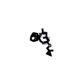 CC1=C/C(C)=C/C(OCC2(C)CC2)=N\C/C(N2C3CC4CC2C(C3)O4)=N\1